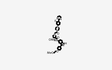 COCCOc1ccc(-c2n[nH]c3ccc(NC(=O)[C@]4(OC)CCN(CC(=O)N5CCN(c6ccc(-c7ncccn7)c(F)c6)CC5)C4)cc23)cc1